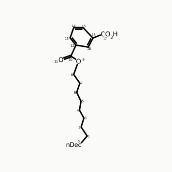 CCCCCCCCCCCCCCCCCCOC(=O)c1cccc(C(=O)O)c1